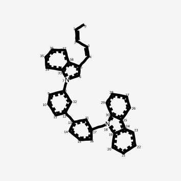 C/C=C\C=C/c1cn(-c2cccc(-c3cccc(-n4c5ccccc5c5ccccc54)c3)c2)c2ccccc12